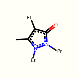 CCc1c(C)n(CC)n(C(C)C)c1=O